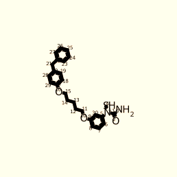 NC(=O)N(S)c1cccc(OCCCCCOc2ccc(Cc3ccccc3)cc2)c1